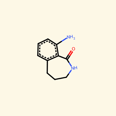 Nc1cccc2c1C(=O)NCCC2